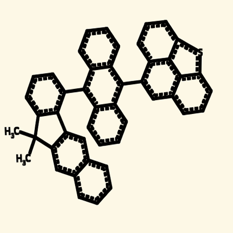 CC1(C)c2cc3ccccc3cc2-c2c(-c3c4ccccc4c(-c4cc5cccc6sc7cccc4c7c56)c4ccccc34)cccc21